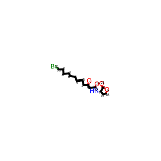 O=C(CCCCCCCCCBr)CC(=O)N[C@H]1CCOC1=O